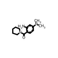 CN(C)c1ccc(C(=O)N2CCCCC2)c(N)c1